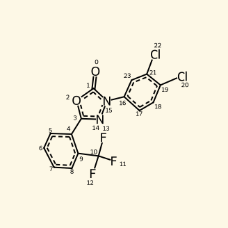 O=c1oc(-c2ccccc2C(F)(F)F)nn1-c1ccc(Cl)c(Cl)c1